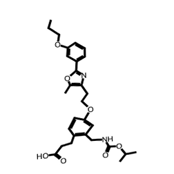 CCCOc1cccc(-c2nc(CCOc3ccc(CCC(=O)O)c(CNC(=O)OC(C)C)c3)c(C)o2)c1